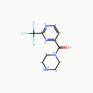 O=C(c1ccnc(C(F)(F)F)n1)N1CCNCC1